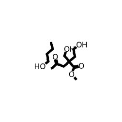 CCCCO.COC(=O)C(CO)(CCO)CC(C)=O